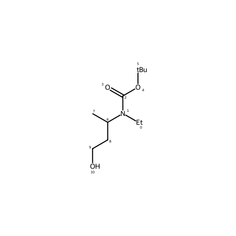 CCN(C(=O)OC(C)(C)C)C(C)CCO